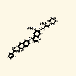 COc1cc2c(Oc3ccc4cc(NC(=O)c5ccsc5)ccc4c3)ccnc2cc1OCC(O)CN1CCOCC1